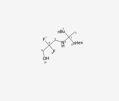 CCCCCCC(C)(CCCC)NCC(F)(F)CO